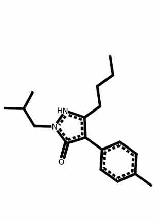 CCCCc1[nH]n(CC(C)C)c(=O)c1-c1ccc(C)cc1